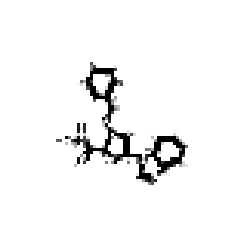 O=C(NO)C1SC(n2cnc3ccccc32)=CC1OCc1ccccc1